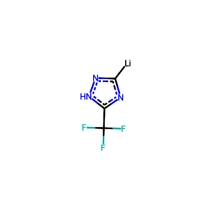 [Li][c]1n[nH]c(C(F)(F)F)n1